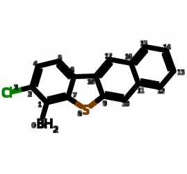 Bc1c(Cl)ccc2c1sc1cc3ccccc3cc12